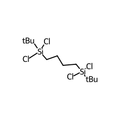 CC(C)(C)[Si](Cl)(Cl)CCCC[Si](Cl)(Cl)C(C)(C)C